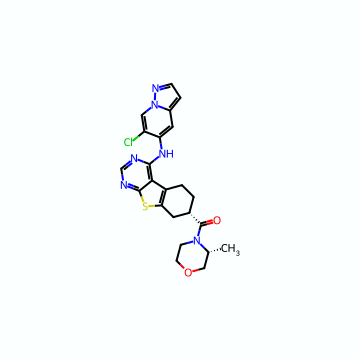 C[C@@H]1COCCN1C(=O)[C@H]1CCc2c(sc3ncnc(Nc4cc5ccnn5cc4Cl)c23)C1